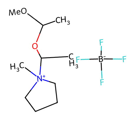 COC(C)OC(C)[N+]1(C)CCCC1.F[B-](F)(F)F